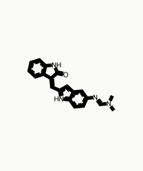 CN(C)C=Nc1ccc2[nH]c(C=C3C(=O)Nc4ccccc43)cc2c1